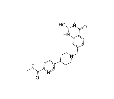 CNC(=O)c1ccc(C2CCN(Cc3ccc4c(c3)NC(O)N(C)C4=O)CC2)cn1